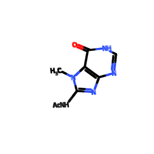 CC(=O)Nc1nc2nc[nH]c(=O)c2n1C